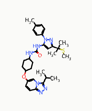 CSC(C)(C)c1cc(NC(=O)NC2CCC(Oc3ccc4nnc(C(C)C)n4c3)CC2)n(-c2ccc(C)cc2)n1